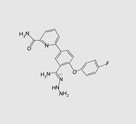 NN/N=C(\N)c1cc(-c2cccc(C(N)=O)n2)ccc1Oc1ccc(F)cc1